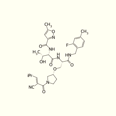 Cc1ccc(CNC(=O)[C@H](CO[C@@H]2CCN(C(=O)C(C#N)=CC(C)C)C2)NC(=O)[C@@H](NC(=O)c2cc(C)on2)[C@@H](C)O)c(F)c1